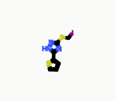 ICSc1n[nH]c(-c2cccs2)n1